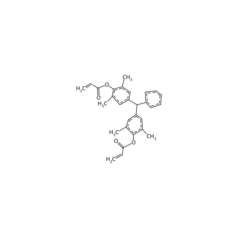 C=CC(=O)Oc1c(C)cc(C(c2ccccc2)c2cc(C)c(OC(=O)C=C)c(C)c2)cc1C